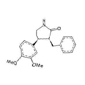 COc1ccc([C@H]2CNC(=O)[C@H]2Cc2ccccc2)cc1OC